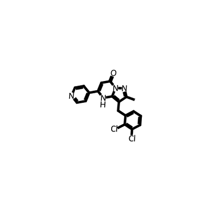 Cc1nn2c(=O)cc(-c3ccncc3)[nH]c2c1Cc1cccc(Cl)c1Cl